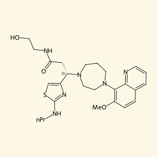 CCCNc1nc([C@H](CC(=O)NCCO)N2CCCN(c3c(OC)ccc4cccnc34)CC2)cs1